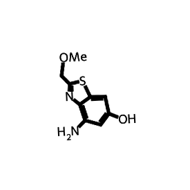 COCc1nc2c(N)cc(O)cc2s1